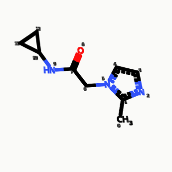 Cc1nccn1CC(=O)NC1CC1